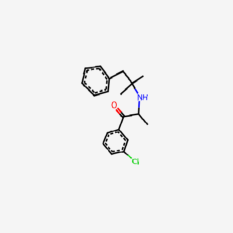 CC(NC(C)(C)Cc1ccccc1)C(=O)c1cccc(Cl)c1